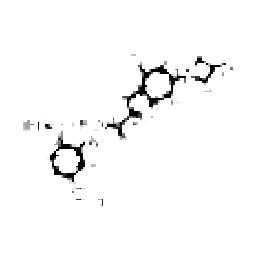 Cc1ccc(OC(C)C)c(S(=O)(=O)NC(=O)c2cc3c(F)cc(N4CC(F)C4)cc3o2)c1